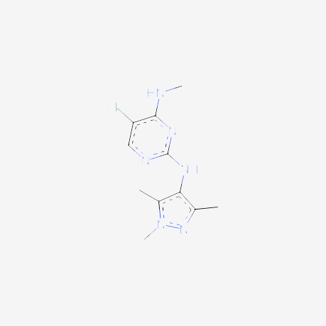 CNc1nc(Nc2c(C)nn(C)c2C)ncc1Cl